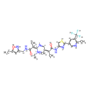 CNC(/N=C\C(C)=C(\C)C(=O)Nc1csc(-c2cnc(C)c(C(F)(F)F)c2)n1)=C(/C)C(=O)NCc1cc(C)on1